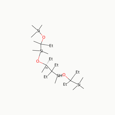 CCC(CC)([SiH](C)OC(CC)(CC)[Si](C)(C)C)[C@](C)(CC)O[Si](C)(C)C(C)(CC)O[Si](C)(C)C